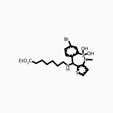 CCOC(=O)CCCCCCNC1c2ccc(Br)cc2S(O)(O)N(C)c2ccsc21